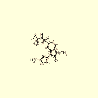 Cc1nnc(-n2c(=O)n(C)c3ccc(S(=O)(=O)NC4(C)CC4)cc32)s1